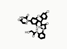 O=C(CO)Nc1ccccc1N1CC(=O)C(C(c2ccc(Cl)cc2)c2c(Cl)cc(-n3ncc(=O)[nH]c3=O)cc2Cl)=N1